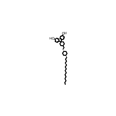 CCCCCCCCCCCCCCC[C@H]1CC[C@H](CCC2CCC(c3ccc(O)cc3)(c3ccc(O)cc3)CC2)CC1